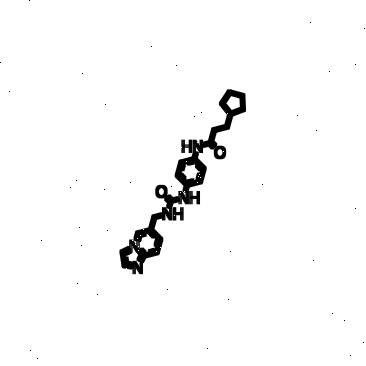 O=C(CCC1CCCC1)Nc1ccc(NC(=O)NCc2ccc3nccn3c2)cc1